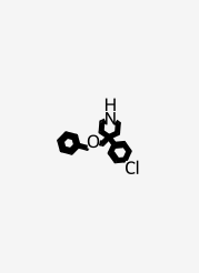 ClC1C=CC(C2(COCc3ccccc3)CCNCC2)=CC1